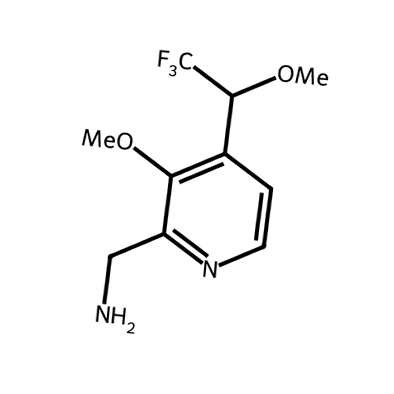 COc1c(C(OC)C(F)(F)F)ccnc1CN